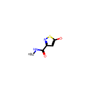 CCCCNC(=O)c1cc([O])sn1